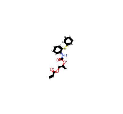 C=CC(=O)OCC(C)OC(=O)Nc1ccccc1Sc1ccccc1